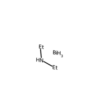 CCNCC.[BiH3]